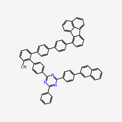 N#Cc1cccc(-c2ccc(-c3ccc(-c4cccc5c4-c4cccc6cccc-5c46)cc3)cc2)c1-c1ccc(-c2nc(-c3ccccc3)nc(-c3ccc(-c4ccc5ccccc5c4)cc3)n2)cc1